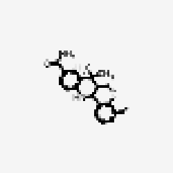 CC1(C)c2cc(C(N)=O)ccc2NC2c3cccc(F)c3OCC21